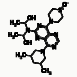 CC1CC(C)CN(c2ncnc3c(N4CC[S+]([O-])CC4)nc(N(C(C)O)C(C)O)nc23)C1